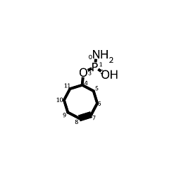 NP(O)OC1CCC#CCCC1